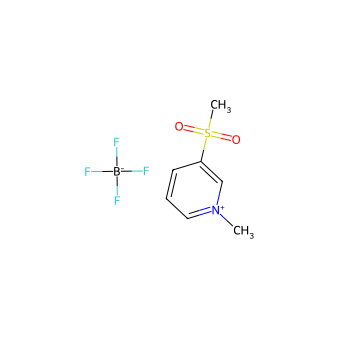 C[n+]1cccc(S(C)(=O)=O)c1.F[B-](F)(F)F